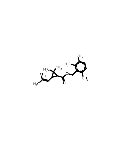 CC(C)=CC1C(C(=O)OCc2c(C)ccc(C)c2C)C1(C)C